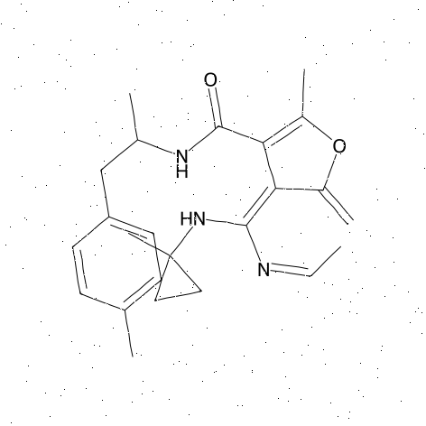 C=c1oc(C)c(C(=O)NC(C)Cc2ccc(C)cc2)/c1=C(/N=C\C)NC1(C)CC1